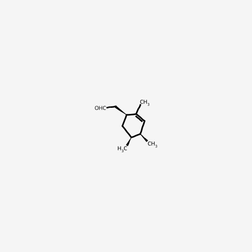 CC1=C[C@@H](C)[C@@H](C)C[C@H]1CC=O